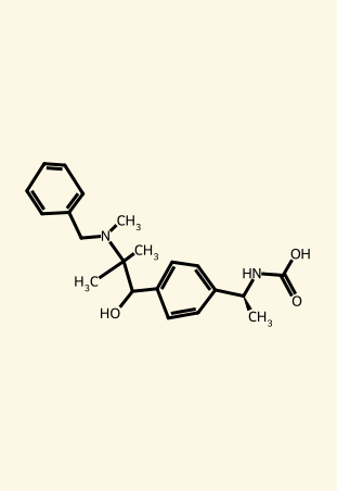 C[C@H](NC(=O)O)c1ccc(C(O)C(C)(C)N(C)Cc2ccccc2)cc1